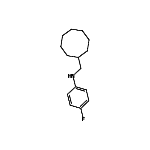 Fc1ccc(NCC2CCCCCCC2)cc1